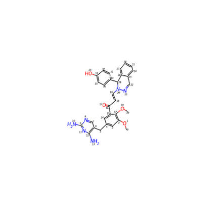 COc1cc(Cc2cnc(N)nc2N)cc(C(=O)/C=C/N2N=Cc3ccccc3C2c2ccc(O)cc2)c1OC